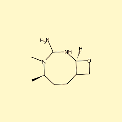 C[C@@H]1CCC2CO[C@@H]2NC(N)N1C